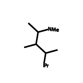 CNC(C)C(C)C(C)C(C)C